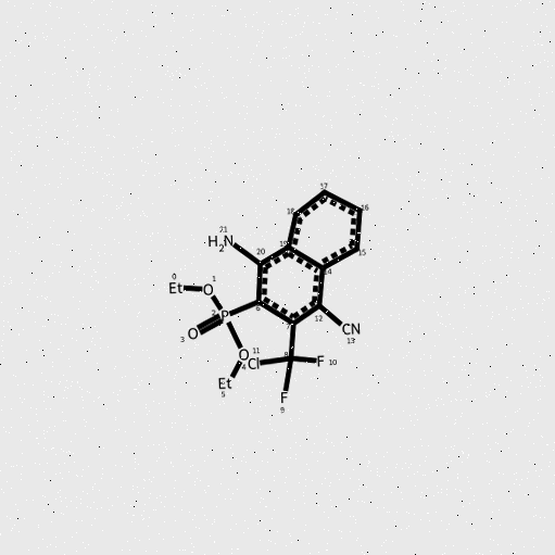 CCOP(=O)(OCC)c1c(C(F)(F)Cl)c(C#N)c2ccccc2c1N